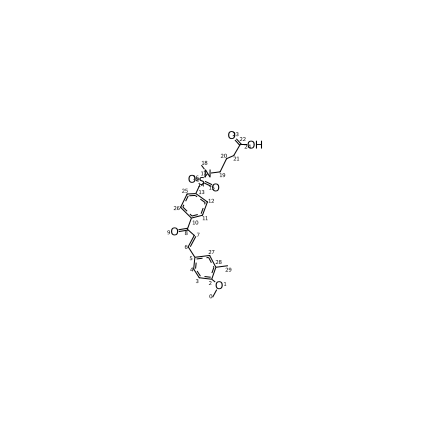 COc1ccc(C=CC(=O)c2ccc(S(=O)(=O)N(C)CCCC(=O)O)cc2)cc1C